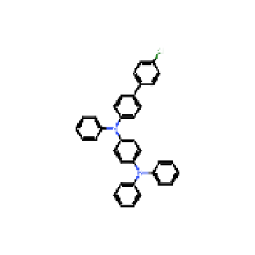 Clc1ccc(-c2ccc(N(c3ccccc3)c3ccc(N(c4ccccc4)c4ccccc4)cc3)cc2)cc1